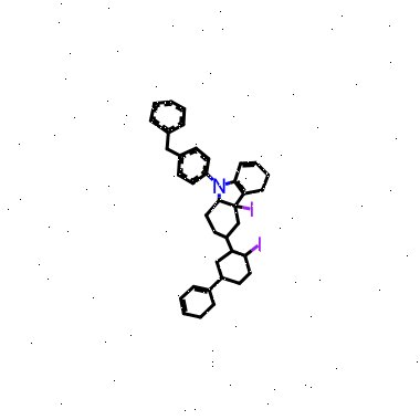 IC1CCC(C2=CC=CCC2)CC1C1CCC2N(c3ccc(Cc4ccccc4)cc3)C3=C(CCC=C3)C2(I)C1